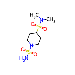 CN(C)S(=O)(=O)C1CCN(S(N)(=O)=O)CC1